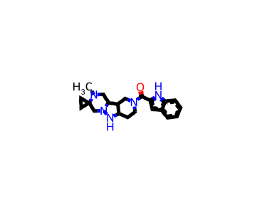 CN1CC2C3CN(C(=O)c4cc5ccccc5[nH]4)CCC3NN2CC12CC2